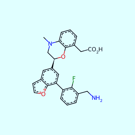 CN1C[C@H](c2cc(-c3cccc(CN)c3F)c3occc3c2)Oc2c(CC(=O)O)cccc21